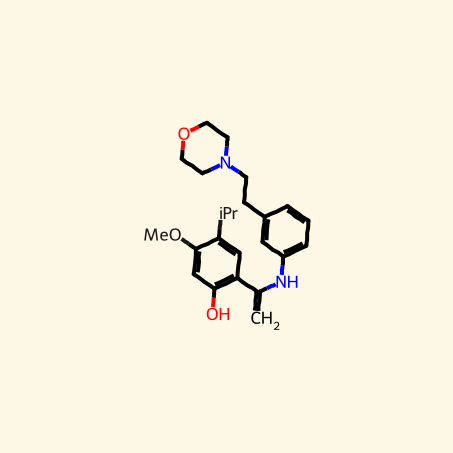 C=C(Nc1cccc(CCN2CCOCC2)c1)c1cc(C(C)C)c(OC)cc1O